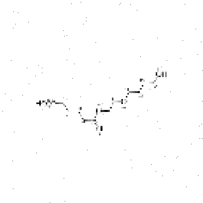 O=C(O)CCCCC(=O)OCCOCCCCO